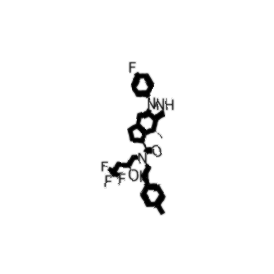 Cc1ccc(CCN(C[C@H](O)CC(F)(F)F)C(=O)[C@H]2CCC3=C2[C@@H](C)C2=CNN(c4ccc(F)cc4)C2=C3)cc1